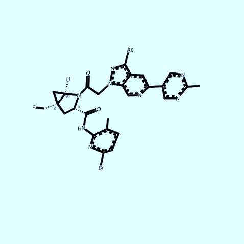 CC(=O)c1nn(CC(=O)N2[C@H](C(=O)Nc3nc(Br)ccc3C)C[C@@]3(CF)C[C@@H]23)c2cnc(-c3cnc(C)nc3)cc12